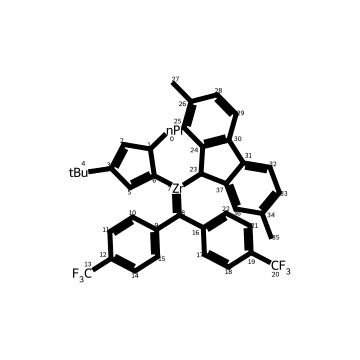 CCCC1C=C(C(C)(C)C)C=[C]1[Zr](=[C](c1ccc(C(F)(F)F)cc1)c1ccc(C(F)(F)F)cc1)[CH]1c2cc(C)ccc2-c2ccc(C)cc21